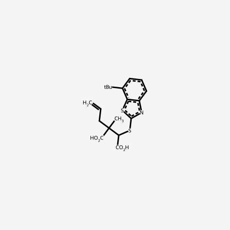 C=CCC(C)(C(=O)O)C(Sc1nc2cccc(C(C)(C)C)c2s1)C(=O)O